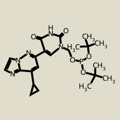 CC(C)(C)OP(OCn1cc(-c2cc(C3CC3)c3nccn3n2)c(=O)[nH]c1=O)OC(C)(C)C